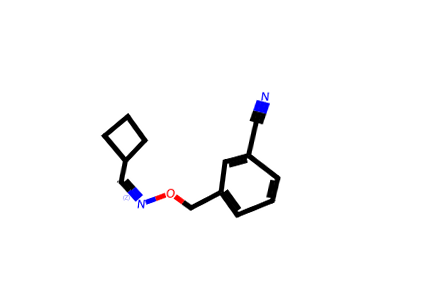 N#Cc1cccc(CO/N=[C]\C2CCC2)c1